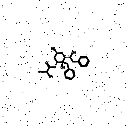 CCCC(CCC)C(=O)O[C@@H]1C[C@@H](O)O[C@H](C(O)Cc2ccccc2)[C@]1(O)Cc1ccccc1